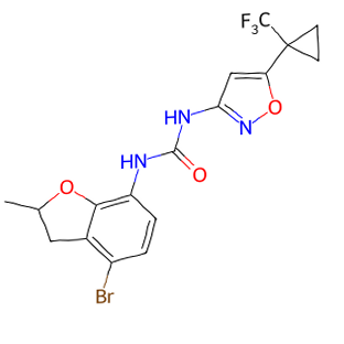 CC1Cc2c(Br)ccc(NC(=O)Nc3cc(C4(C(F)(F)F)CC4)on3)c2O1